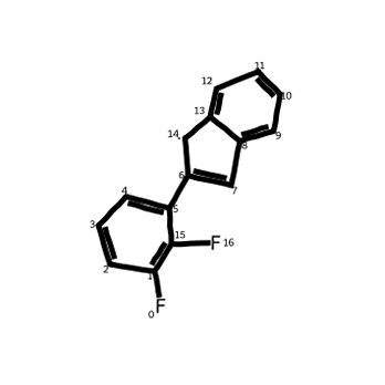 Fc1cccc(C2=Cc3ccccc3[CH]2)c1F